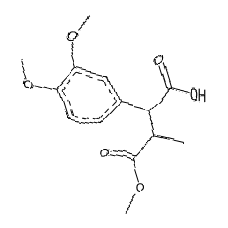 COC(=O)C(C)C(C(=O)O)c1ccc(OC)c(OC)c1